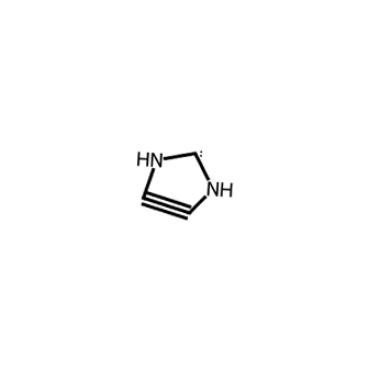 [C]1NC#CN1